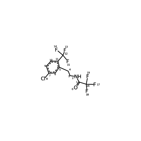 O=C(NCCc1cc(Cl)ccc1C(F)(F)F)C(F)(F)F